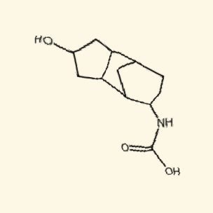 O=C(O)NC1CC2CC1C1CC(O)CC21